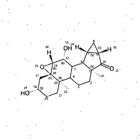 C[C@]12CCC3C(C1[C@@H]1C[C@@H]1C2=O)[C@@H](O)[C@H]1O[C@]12C[C@@H](O)CC[C@]32C